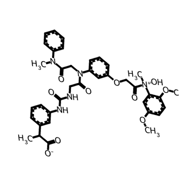 COc1ccc(OC)c([N+](C)(O)C(=O)COc2cccc(N(CC(=O)N(C)c3ccccc3)C(=O)CNC(=O)Nc3cccc(C(C)C(=O)[O-])c3)c2)c1